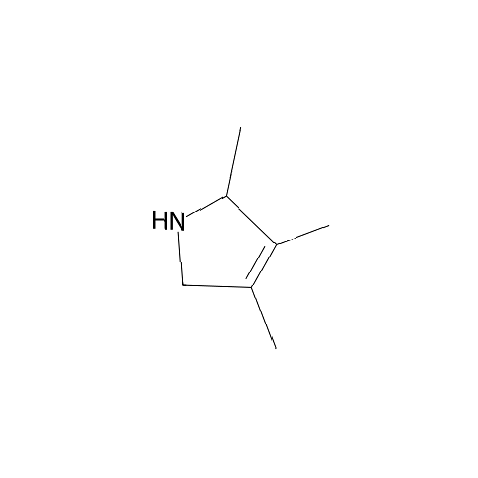 CC1=C(C)C(C)NC1